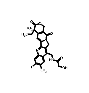 CC[C@@]1(O)C(=O)OCc2c1cc1n(c2=O)Cc2c-1nc1cc(F)c(C)cc1c2CNC(=O)CO